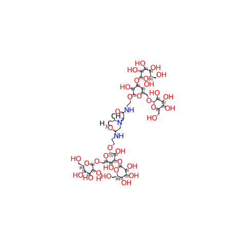 CC(C)N(CC(=O)NCCO[C@H]1O[C@H](COC2O[C@H](CO)[C@@H](O)[C@H](O)[C@@H]2O)[C@@H](O)[C@H](O[C@H]2O[C@H](CO)[C@@H](O)[C@H](O)[C@@H]2O)[C@@H]1O)CC(=O)NCCO[C@H]1O[C@H](CO[C@H]2O[C@H](CO)[C@@H](O)[C@H](O)[C@@H]2O)[C@@H](O)[C@H](O[C@H]2O[C@H](CO)[C@@H](O)[C@H](O)[C@@H]2O)[C@@H]1O